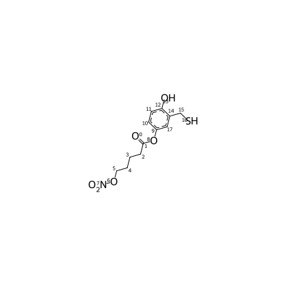 O=C(CCCCO[N+](=O)[O-])Oc1ccc(O)c(CS)c1